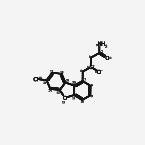 NC(=O)C[S+]([O-])Cc1cccc2oc3cc(Cl)ccc3c12